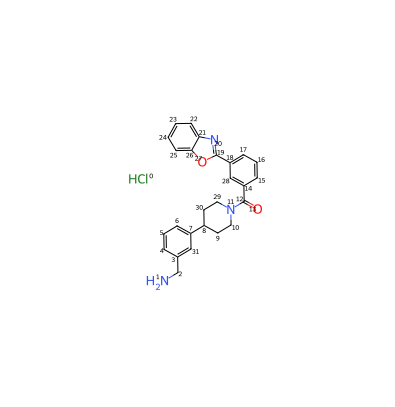 Cl.NCc1cccc(C2CCN(C(=O)c3cccc(-c4nc5ccccc5o4)c3)CC2)c1